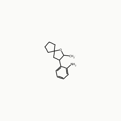 [CH2]C1OC2(CCCC2)CC1c1ccccc1N